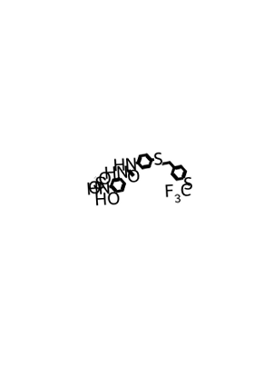 CS(=O)(=O)Nc1cc(NC(=O)Nc2ccc(SCCc3ccc(SC(F)(F)F)cc3)cc2)ccc1O